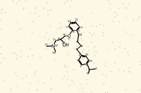 CC(C)c1ccc(CCCCc2ccccc2OCC(O)CN(C)C)cc1